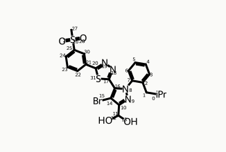 CC(C)Cc1ccccc1-n1nc(C(O)O)c(Br)c1-c1nnc(-c2cccc(S(C)(=O)=O)c2)s1